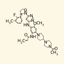 C=CC(=O)Nc1cc(Nc2cc(N3OCC[C@@H]3c3cccc(C)c3F)ncn2)c(OC)cc1N1CCC(N2CCN(C(C)=O)CC2)CC1